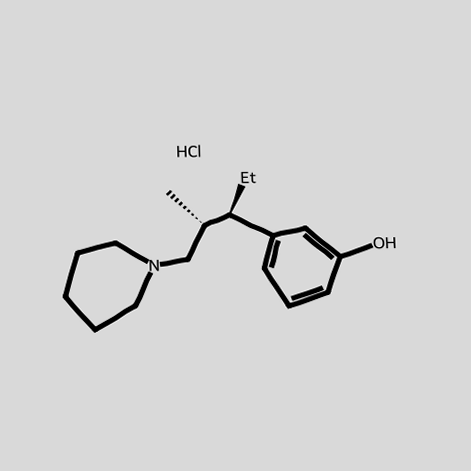 CC[C@@H](c1cccc(O)c1)[C@@H](C)CN1CCCCC1.Cl